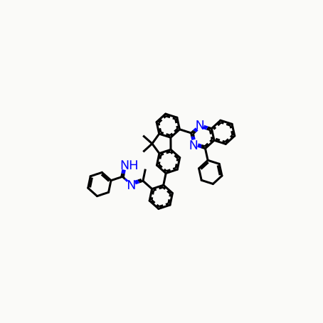 C/C(=N\C(=N)C1=CC=CCC1)c1ccccc1-c1ccc2c(c1)C(C)(C)c1cccc(-c3nc(C4=CCCC=C4)c4ccccc4n3)c1-2